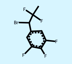 CC(F)(F)C(Br)c1cc(F)c(F)c(F)c1